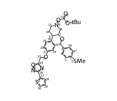 CSc1ccc(COC2CN(OC(=O)OC(C)(C)C)CCC2c2ccc(OCc3nc(-c4cccs4)no3)cc2)cc1